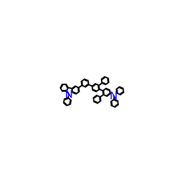 c1ccc(-c2cc(-c3cccc(-c4ccc5c(c4)c4ccccc4n5-c4ccccc4)c3)ccc2-c2ccc(N(c3ccccc3)c3ccccc3)cc2-c2ccccc2)cc1